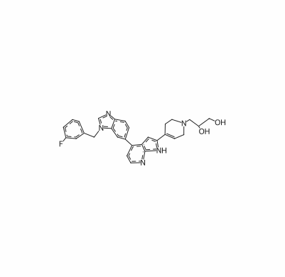 OCC(O)CN1CC=C(c2cc3c(-c4ccc5ncn(Cc6cccc(F)c6)c5c4)ccnc3[nH]2)CC1